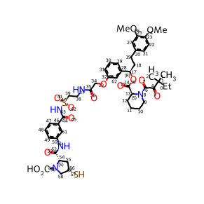 CCC(C)(C)C(=O)C(=O)N1CCCC[C@H]1C(=O)O[C@H](CCc1ccc(OC)c(OC)c1)c1cccc(OCC(=O)NCCS(=O)(=O)NC(=O)c2cccc(NC(=O)[C@@H]3C[C@H](S)CN3C(=O)O)c2)c1